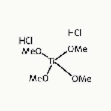 C[O][Ti]([O]C)([O]C)[O]C.Cl.Cl